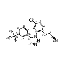 N#CCOc1ccc(Cl)cc1N1N=NCC1c1cccc(C(F)(F)F)c1